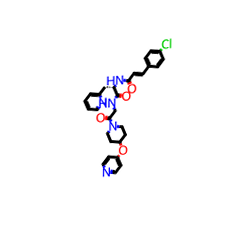 O=C(C=Cc1ccc(Cl)cc1)N[C@@H](Cc1ccccn1)C(=O)NCC(=O)N1CCC(Oc2ccncc2)CC1